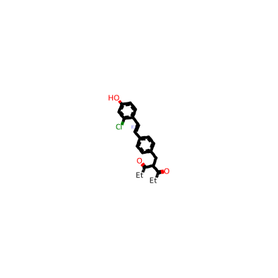 CCC(=O)C(Cc1ccc(/C=C/c2ccc(O)cc2Cl)cc1)C(=O)CC